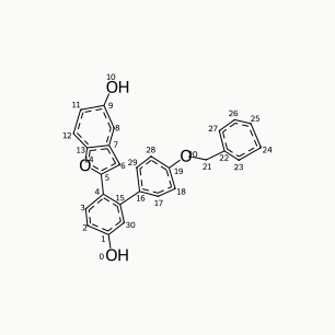 Oc1ccc(-c2cc3cc(O)ccc3o2)c(-c2ccc(OCc3ccccc3)cc2)c1